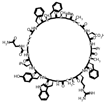 CCCC[C@H]1C(=O)N(C)CC(=O)N[C@@H](CC(=O)O)C(=O)N[C@@H](C(C)C)C(=O)N(C)[C@@H](Cc2ccccc2)C(=O)N[C@@H](CCCNC(=N)N)C(=O)N(C)CC(=O)N[C@@H](Cc2c[nH]c3ccccc23)C(=O)N[C@@H](Cc2ccc(O)cc2)C(=O)N[C@@H](CC(C)C)C(=O)N[C@H](C(=O)NCC(N)=O)CSCC(=O)N[C@@H](Cc2ccccc2)C(=O)N(C)[C@@H](Cc2ccccc2)C(=O)N1C